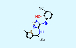 Cc1ccc(C(Nc2nsnc2Nc2cccc(C#N)c2O)C(C)(C)C)s1